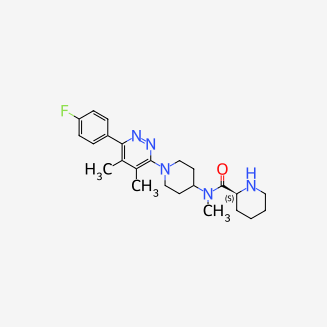 Cc1c(-c2ccc(F)cc2)nnc(N2CCC(N(C)C(=O)[C@@H]3CCCCN3)CC2)c1C